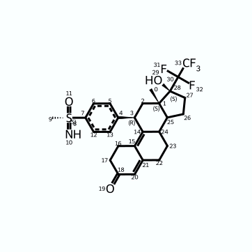 C[C@]12C[C@H](c3ccc([S@@](C)(=N)=O)cc3)C3=C4CCC(=O)C=C4CCC3C1CC[C@@]2(O)C(F)(F)C(F)(F)F